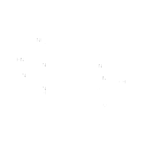 Cn1ncc2cc(Nc3n[nH]c(N)n3)ccc2c1=O